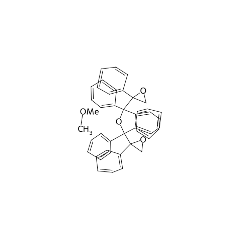 COC.c1ccc(C2(C(OC(c3ccccc3)(c3ccccc3)C3(c4ccccc4)CO3)(c3ccccc3)c3ccccc3)CO2)cc1